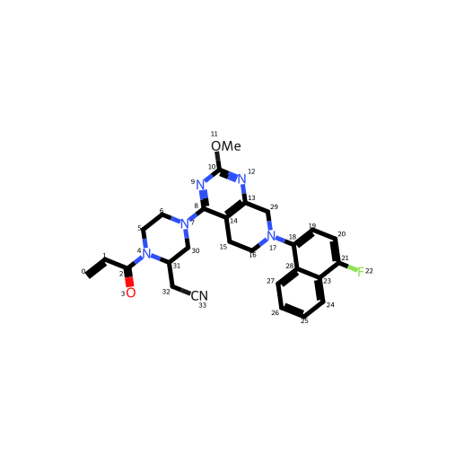 C=CC(=O)N1CCN(c2nc(OC)nc3c2CCN(c2ccc(F)c4ccccc24)C3)CC1CC#N